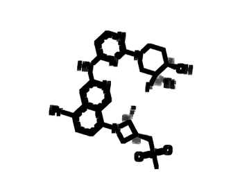 CC[C@]1(F)CN(c2nccc(Nc3cc4c(C(C)C)ccc(N5C[C@H](CS(C)(=O)=O)[C@H]5C)c4cn3)n2)CC[C@H]1O